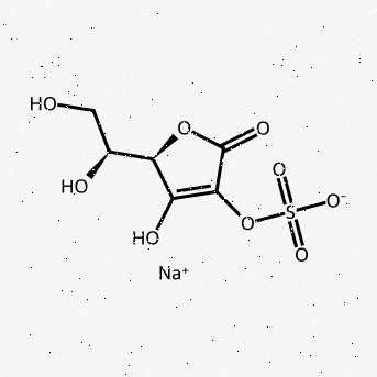 O=C1O[C@H]([C@@H](O)CO)C(O)=C1OS(=O)(=O)[O-].[Na+]